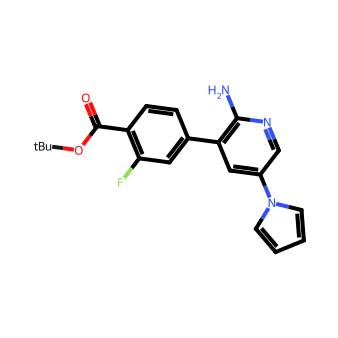 CC(C)(C)OC(=O)c1ccc(-c2cc(-n3cccc3)cnc2N)cc1F